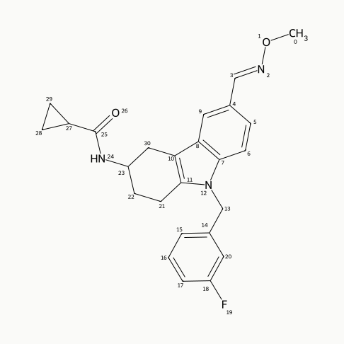 CO/N=C/c1ccc2c(c1)c1c(n2Cc2cccc(F)c2)CCC(NC(=O)C2CC2)C1